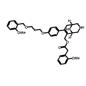 COc1ccccc1COCCCOc1ccc(C2=C(COC(=O)Cc3ccccc3OC)[C@H]3CNC[C@@H](C2)N3)cc1